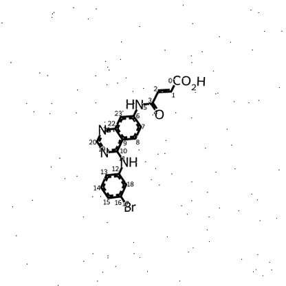 O=C(O)/C=C/C(=O)Nc1ccc2c(Nc3cccc(Br)c3)ncnc2c1